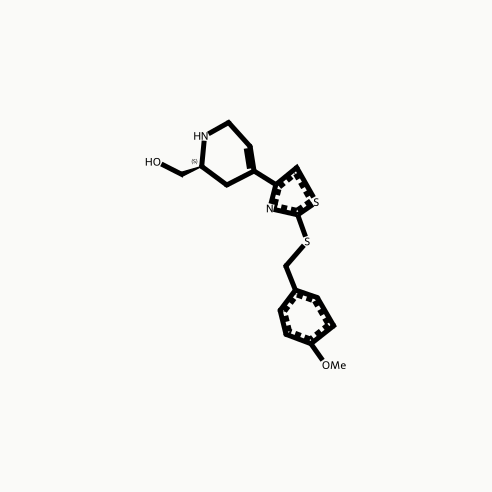 COc1ccc(CSc2nc(C3=CCN[C@H](CO)C3)cs2)cc1